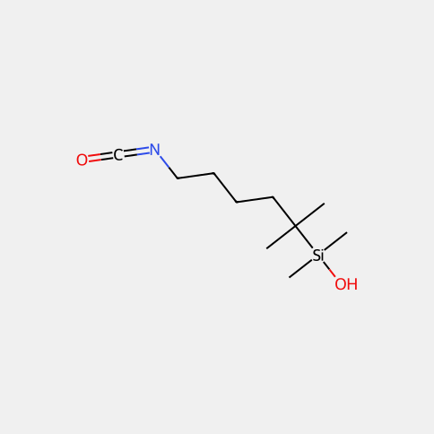 CC(C)(CCCCN=C=O)[Si](C)(C)O